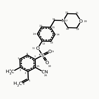 C=Cc1c(C)ccc(S(=O)(=O)Oc2ccc(CN3CCOCC3)cc2)c1C#N